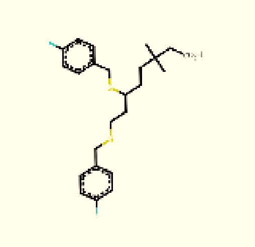 CC(C)(CCC(CCSCc1ccc(F)cc1)SCc1ccc(F)cc1)CC(=O)O